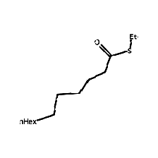 C[CH]SC(=O)CCCCCCCCCCC